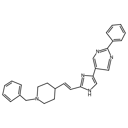 C(=CC1CCN(Cc2ccccc2)CC1)c1nc(-c2cnc(-c3ccccc3)nc2)c[nH]1